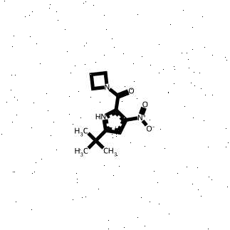 CC(C)(C)c1cc([N+](=O)[O-])c(C(=O)N2CCC2)[nH]1